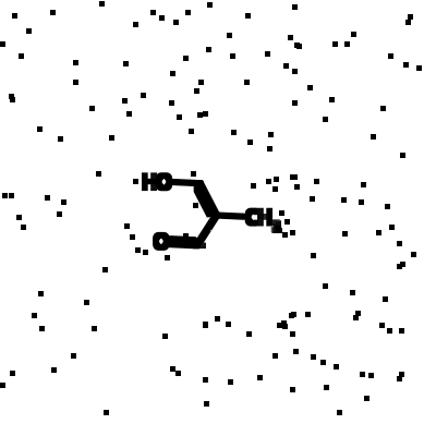 CC([C]=O)=CO